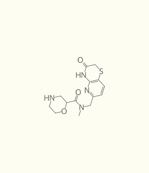 CN(Cc1ccc2c(n1)NC(=O)CS2)C(=O)C1CNCCO1